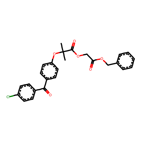 CC(C)(Oc1ccc(C(=O)c2ccc(Cl)cc2)cc1)C(=O)OCC(=O)OCc1ccccc1